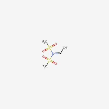 N#CC=[N+](S(=O)(=O)C(F)(F)F)S(=O)(=O)C(F)(F)F